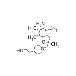 Cc1c(C)c2c(c(C)c1N)CC(C)(CN1CCC(CCO)CC1)O2